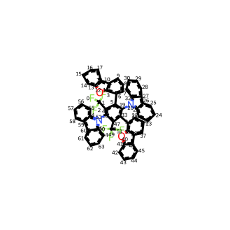 FC(F)(F)c1c(-c2cccc3c2oc2ccccc23)c(-n2c3ccccc3c3ccccc32)c(-c2cccc3c2oc2ccccc23)c(C(F)(F)F)c1-n1c2ccccc2c2ccccc21